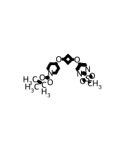 CC(C)(C)OC(=O)N1CCC(OC2CC(Oc3cnc(S(C)(=O)=O)nc3)C2)CC1